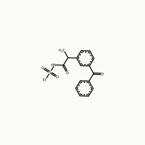 CCS(=O)(=O)NC(=O)C(C)c1cccc(C(=O)c2ccccc2)c1